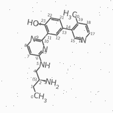 CC[C@H](N)CNc1ccnc(-c2cc(-c3cnccc3C)ccc2O)n1